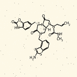 C=CCN(C(=O)NC)N1CC(=O)N2[C@@H](Cc3ccc4[nH]c(=O)oc4c3)C(=O)N(Cc3cccc4sc(N)nc34)C[C@@H]21